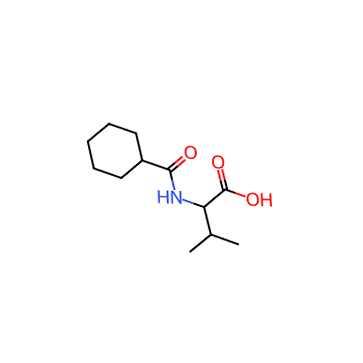 CC(C)C(NC(=O)C1CCCCC1)C(=O)O